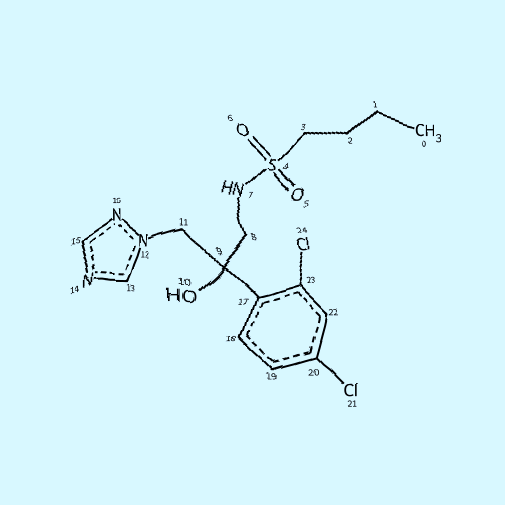 CCCCS(=O)(=O)NCC(O)(Cn1cncn1)c1ccc(Cl)cc1Cl